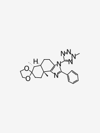 C[C@@H]1[C@H]2CCc3c(nc(-c4ccccc4)n3-c3nnn(C)n3)[C@]2(C)CCC12OCCO2